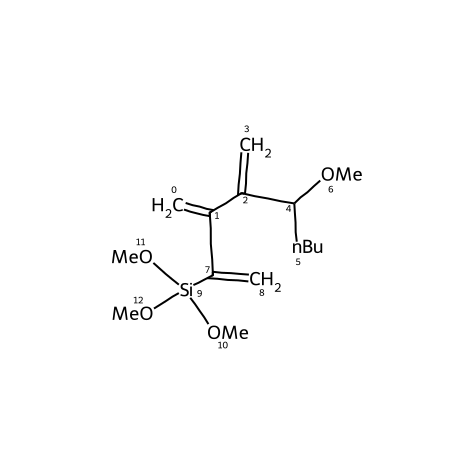 C=C(C(=C)C(CCCC)OC)C(=C)[Si](OC)(OC)OC